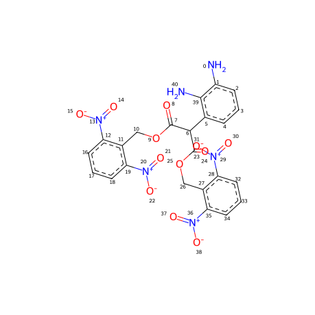 Nc1cccc(C(C(=O)OCc2c([N+](=O)[O-])cccc2[N+](=O)[O-])C(=O)OCc2c([N+](=O)[O-])cccc2[N+](=O)[O-])c1N